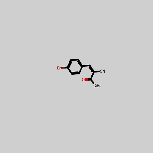 CC(C)COC(=O)C(C#N)=Cc1ccc(Br)cc1